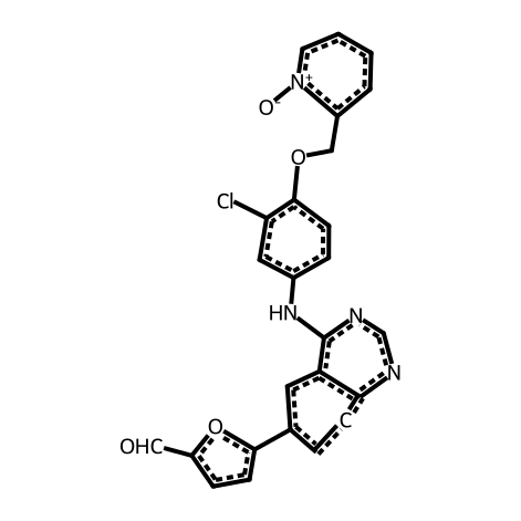 O=Cc1ccc(-c2ccc3ncnc(Nc4ccc(OCc5cccc[n+]5[O-])c(Cl)c4)c3c2)o1